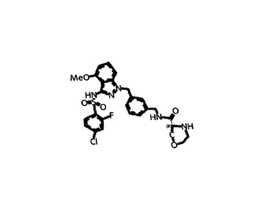 COc1cccc2c1c(NS(=O)(=O)c1ccc(Cl)cc1F)nn2Cc1cccc(CNC(=O)[C@H]2COCCN2)c1